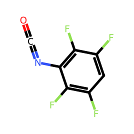 O=C=Nc1c(F)c(F)cc(F)c1F